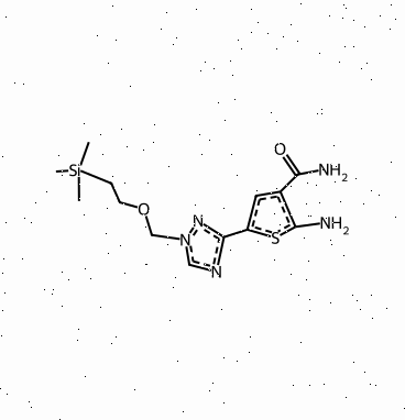 C[Si](C)(C)CCOCn1cnc(-c2cc(C(N)=O)c(N)s2)n1